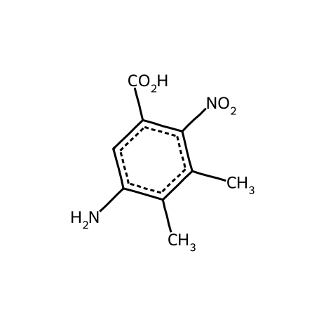 Cc1c(N)cc(C(=O)O)c([N+](=O)[O-])c1C